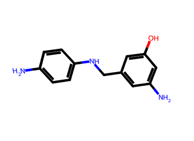 Nc1ccc(NCc2cc(N)cc(O)c2)cc1